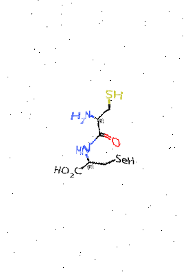 N[C@@H](CS)C(=O)N[C@@H](C[SeH])C(=O)O